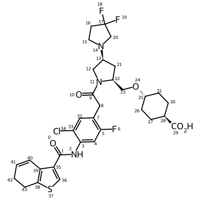 O=C(Nc1cc(F)c(CC(=O)N2C[C@@H](N3CCC(F)(F)C3)C[C@H]2CO[C@H]2CC[C@H](C(=O)O)CC2)cc1Cl)c1csc2c1C=CCC2